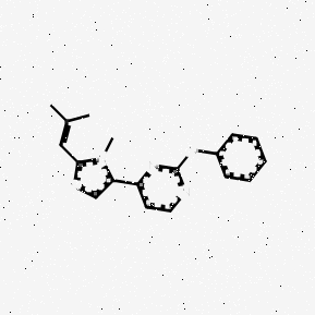 CC(C)=Cc1ncc(-c2ccnc(Nc3ccccc3)n2)n1C